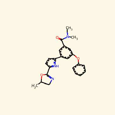 CC1CN=C(c2ccc(-c3cc(Oc4ccccc4)cc(C(=O)N(C)C)c3)[nH]2)O1